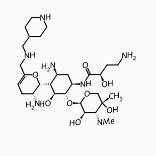 CN[C@@H]1[C@@H](O)[C@@H](O[C@H]2[C@H](NC(=O)[C@H](O)CCN)C[C@H](N)C([C@H]3OC(CNCC4CCNCC4)=CC[C@H]3N)[C@@H]2O)OC[C@]1(C)O